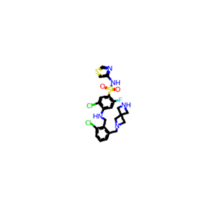 O=S(=O)(Nc1cscn1)c1cc(Cl)c(NCc2c(Cl)cccc2CN2CC3(CNC3)C2)cc1F